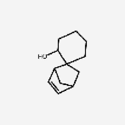 OC1CCCCC12CC1C=CC2C1